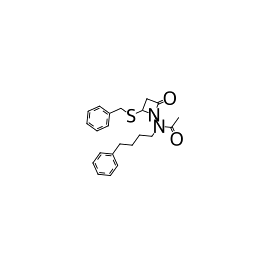 CC(=O)N(CCCCc1ccccc1)N1C(=O)CC1SCc1ccccc1